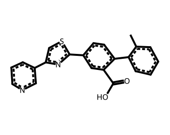 Cc1ccccc1-c1ccc(-c2nc(-c3cccnc3)cs2)cc1C(=O)O